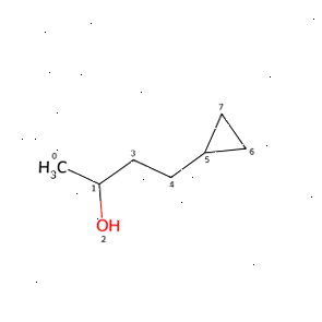 CC(O)CCC1CC1